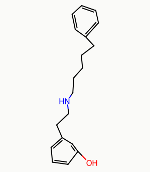 Oc1cccc(CCNCCCCCc2ccccc2)c1